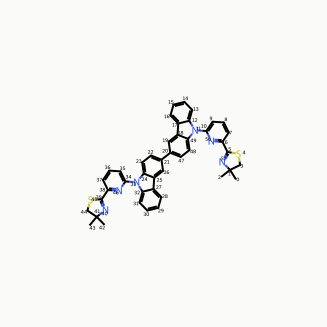 CC1(C)CSC(c2cccc(-n3c4ccccc4c4cc(-c5ccc6c(c5)c5ccccc5n6-c5cccc(C6=NC(C)(C)CS6)n5)ccc43)n2)=N1